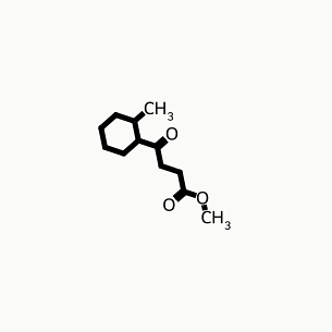 COC(=O)CCC(=O)C1CCCCC1C